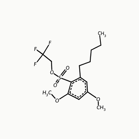 CCCCCc1cc(OC)cc(OC)c1S(=O)(=O)OCC(F)(F)F